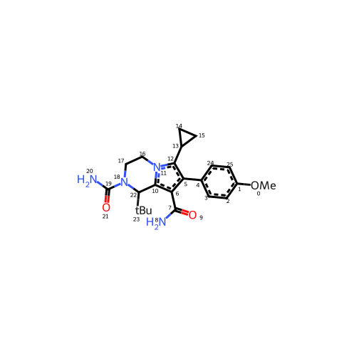 COc1ccc(-c2c(C(N)=O)c3n(c2C2CC2)CCN(C(N)=O)C3C(C)(C)C)cc1